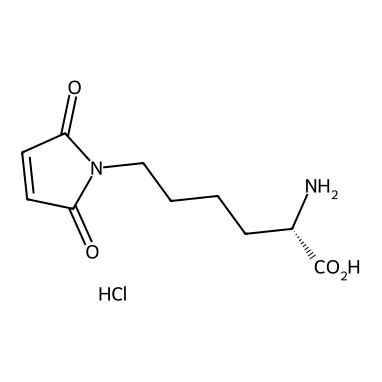 Cl.N[C@@H](CCCCN1C(=O)C=CC1=O)C(=O)O